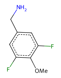 COc1c(F)cc(CN)cc1F